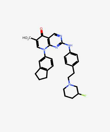 O=C(O)c1cn(-c2ccc3c(c2)CCC3)c2nc(Nc3ccc(CCN4CCCC(F)C4)cc3)ncc2c1=O